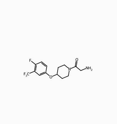 NCC(=O)N1CCC(Oc2ccc(F)c(C(F)(F)F)c2)CC1